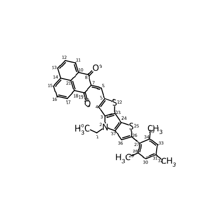 CCn1c2cc(C=c3c(=O)c4cccc5cccc(c3=O)c54)sc2c2sc(-c3c(C)cc(C)cc3C)cc21